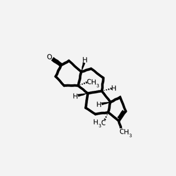 CC1=CC[C@H]2[C@@H]3CC[C@H]4CC(=O)CC[C@]4(C)[C@H]3CC[C@]12C